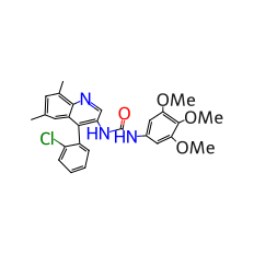 COc1cc(NC(=O)Nc2cnc3c(C)cc(C)cc3c2-c2ccccc2Cl)cc(OC)c1OC